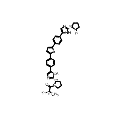 CC(C)[C@H](C)C(=O)N1CCC[C@H]1c1ncc(-c2ccc(-c3ccc(-c4ccc(-c5cnc([C@@H]6CCCN6)[nH]5)cc4)s3)cc2)[nH]1